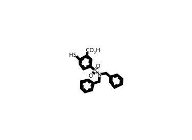 O=C(O)c1cc(S(=O)(=O)N(Cc2ccccc2)Cc2ccccc2)ccc1S